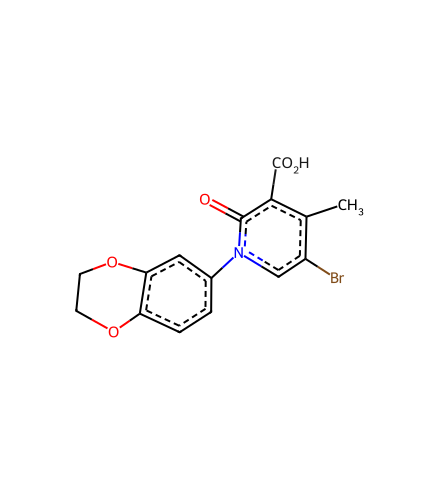 Cc1c(Br)cn(-c2ccc3c(c2)OCCO3)c(=O)c1C(=O)O